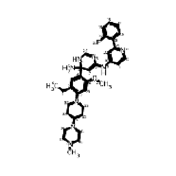 CCc1cc(C2(N)C=C(Nc3ccnc(-c4ccccc4F)c3)N=CN2)c(OC)cc1N1CCC(N2CCN(C)CC2)CC1